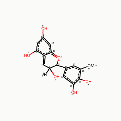 [2H]C1(O)C=c2c(O)cc(O)cc2=[O+]C1c1cc(O)c(O)c(OC)c1